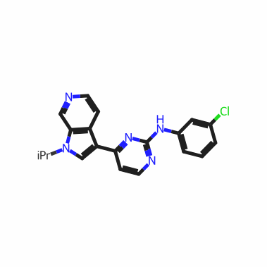 CC(C)n1cc(-c2ccnc(Nc3cccc(Cl)c3)n2)c2ccncc21